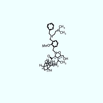 COc1c(CN(CCN(C)C)Cc2ccccc2)cccc1CN1O[C@@H](CO)[C@@H](C(C)O)[C@H]1C(=O)N[C@H]1C[C@H]2C[C@@H](C1C)C2(C)C